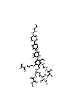 C=C(C)C(=O)OCCCc1cc(-c2ccc(-c3ccc(C4CCC(CCCCC)CC4)cc3)cc2F)c(CC)c(CCCOC(=O)C(=C)C)c1OCC(COC(=O)C(=O)OC)COC(=O)C(=O)OC